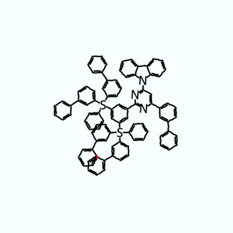 c1ccc(-c2cccc(-c3cc(-n4c5ccccc5c5ccccc54)nc(-c4cc(S(c5ccccc5)(c5cccc(-c6ccccc6)c5)c5cccc(-c6ccccc6)c5)cc(S(c5ccccc5)(c5cccc(-c6ccccc6)c5)c5cccc(-c6ccccc6)c5)c4)n3)c2)cc1